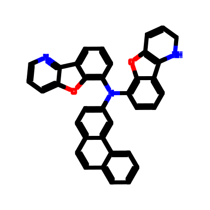 C1=Cc2oc3c(N(c4ccc5ccc6ccccc6c5c4)c4cccc5c4oc4cccnc45)cccc3c2NC1